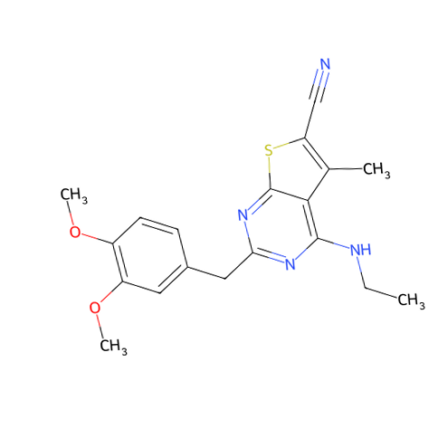 CCNc1nc(Cc2ccc(OC)c(OC)c2)nc2sc(C#N)c(C)c12